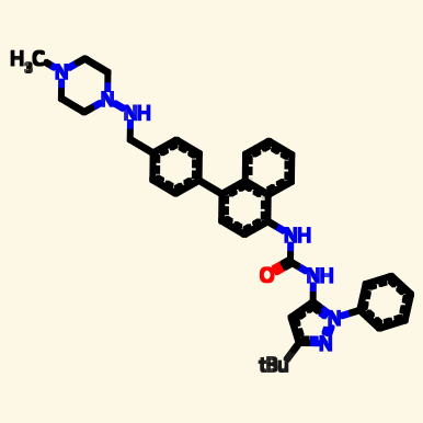 CN1CCN(NCc2ccc(-c3ccc(NC(=O)Nc4cc(C(C)(C)C)nn4-c4ccccc4)c4ccccc34)cc2)CC1